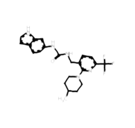 CC1CCN(c2nc(C(F)(F)F)ccc2CNC(=O)Nc2ccc3cc[nH]c3c2)CC1